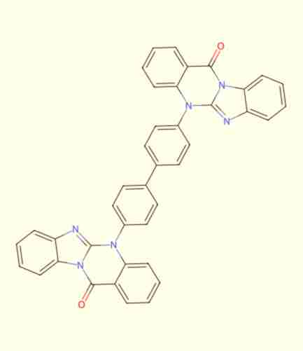 O=c1c2ccccc2n(-c2ccc(-c3ccc(-n4c5ccccc5c(=O)n5c6ccccc6nc45)cc3)cc2)c2nc3ccccc3n12